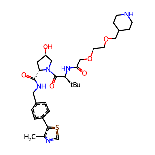 Cc1ncsc1-c1ccc(CNC(=O)[C@@H]2C[C@@H](O)CN2C(=O)[C@@H](NC(=O)COCCOCC2CCNCC2)C(C)(C)C)cc1